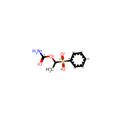 CC(OC(N)=O)S(=O)(=O)c1ccccc1